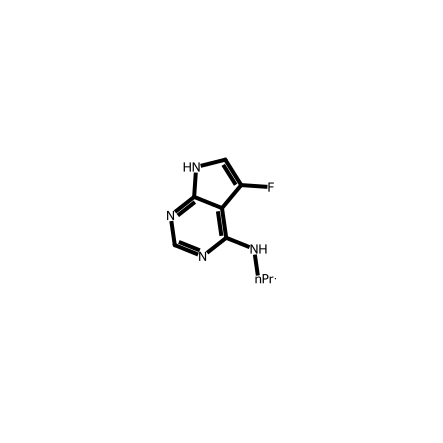 CC[CH]Nc1ncnc2[nH]cc(F)c12